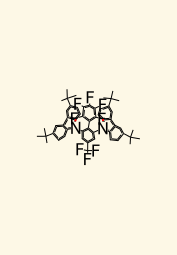 CC(C)(C)c1ccc2c(c1)c1cc(C(C)(C)C)ccc1n2-c1cc(C(F)(F)F)cc(-n2c3ccc(C(C)(C)C)cc3c3cc(C(C)(C)C)ccc32)c1-c1c(F)c(F)c(F)c(F)c1F